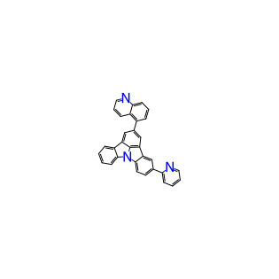 c1ccc(-c2ccc3c(c2)c2cc(-c4cccc5ncccc45)cc4c5ccccc5n3c42)nc1